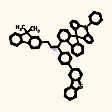 CC1(C)c2ccccc2-c2ccc(C/C=C(/c3ccc(-c4ccc5sc6ccccc6c5c4)cc3)c3cccc4c3-c3ccccc3C43c4ccccc4N(c4ccccc4)c4ccccc43)cc21